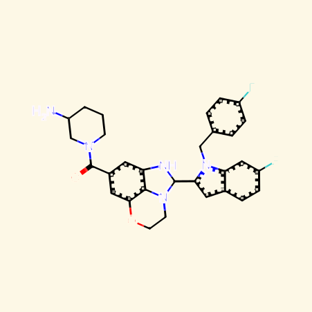 NC1CCCN(C(=O)c2cc3c4c(c2)OCCN4C(c2cc4ccc(F)cc4n2Cc2ccc(F)cc2)N3)C1